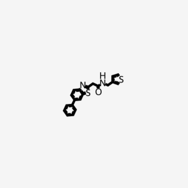 O=C(Cc1nc2ccc(-c3ccccc3)cc2s1)NCc1ccsc1